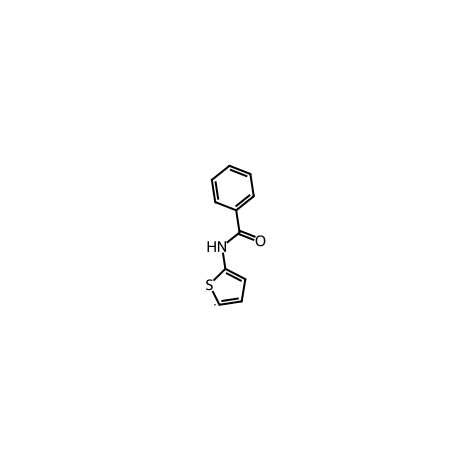 O=C(Nc1cc[c]s1)c1ccccc1